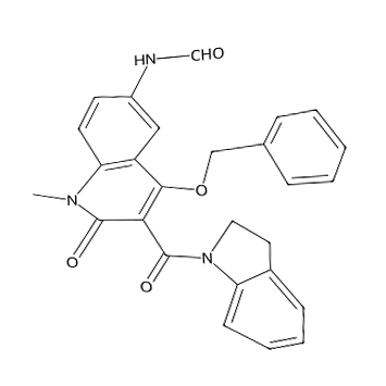 Cn1c(=O)c(C(=O)N2CCc3ccccc32)c(OCc2ccccc2)c2cc(NC=O)ccc21